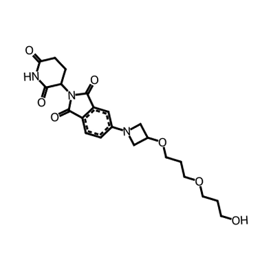 O=C1CCC(N2C(=O)c3ccc(N4CC(OCCCOCCCO)C4)cc3C2=O)C(=O)N1